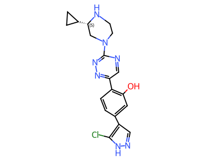 Oc1cc(-c2cn[nH]c2Cl)ccc1-c1cnc(N2CCN[C@@H](C3CC3)C2)nn1